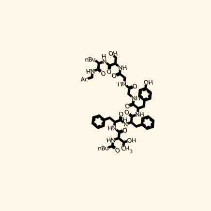 CCCCC(=O)NC(C(=O)NC(Cc1ccccc1)C(=O)NC(Cc1ccccc1)C(=O)NC(Cc1ccc(O)cc1)C(=O)NCC(=O)NCC(=O)NC(CO)C(=O)NC(CCCC)C(=O)NCC(C)=O)C(C)O